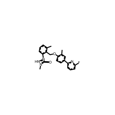 Cc1cc(-c2cccc(F)n2)ccc1OCc1c(C)cccc1-n1[nH]n(C)c1=O